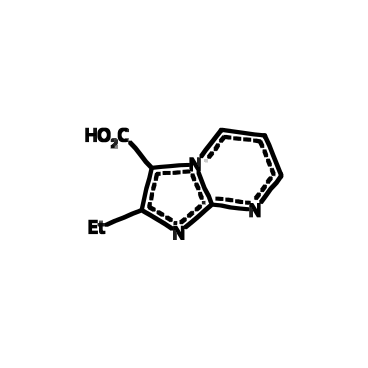 CCc1nc2ncccn2c1C(=O)O